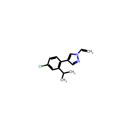 C=Cn1cc(-c2ccc(Cl)cc2C(C)C)cn1